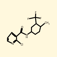 CC1CCC(NC(=O)c2cccnc2Cl)CC1C(F)(F)F